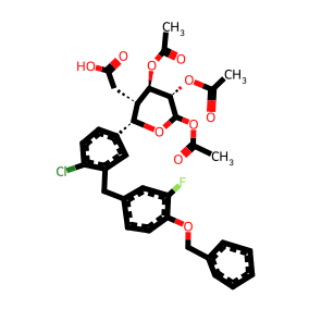 CC(=O)OC1O[C@H](c2ccc(Cl)c(Cc3ccc(OCc4ccccc4)c(F)c3)c2)[C@H](CC(=O)O)[C@@H](OC(C)=O)[C@@H]1OC(C)=O